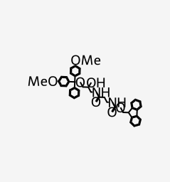 COc1ccc(C(OCC(O)CNC(=O)CCNC(=O)OCC2c3ccccc3-c3ccccc32)(c2ccccc2)c2ccc(OC)cc2)cc1